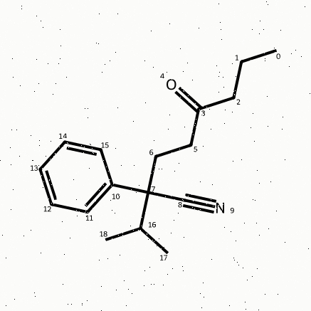 CCCC(=O)CCC(C#N)(c1ccccc1)C(C)C